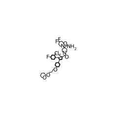 NC(=O)C1(N2CCC(F)(F)CC2)CCN(C(=O)c2cc(-c3ccc(OCCCOC4CCCCO4)cc3)c(-c3ccc(F)cc3Cl)s2)CC1